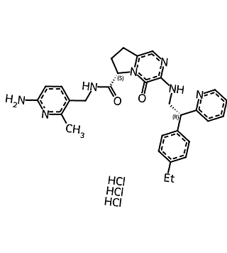 CCc1ccc([C@H](CNc2ncc3n(c2=O)[C@H](C(=O)NCc2ccc(N)nc2C)CC3)c2ccccn2)cc1.Cl.Cl.Cl